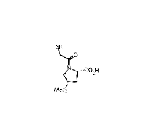 CO[C@H]1C[C@@H](C(=O)O)N(C(=O)CS)C1